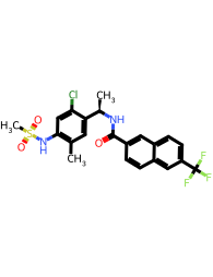 Cc1cc([C@@H](C)NC(=O)c2ccc3cc(C(F)(F)F)ccc3c2)c(Cl)cc1NS(C)(=O)=O